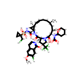 COc1cc2ccnc(O[C@]3(C(F)(F)F)C[C@H]4C(=O)N[C@]5(C(=O)NS(=O)(=O)C6(CF)CC6)C[C@H]5/C=C\CC[C@@H](C)C[C@@H](C)[C@H](N(C(=O)O)C5CCCCO5)C(=O)N4C3)c2cc1F